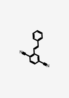 N#Cc1ccc(C#N)c(C=Cc2ccccc2)c1